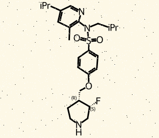 Cc1cc(C(C)C)cnc1N(CC(C)C)S(=O)(=O)c1ccc(OC[C@H]2CCNC[C@H]2F)cc1